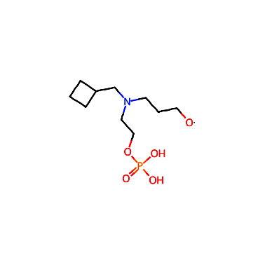 [O]CCCN(CCOP(=O)(O)O)CC1CCC1